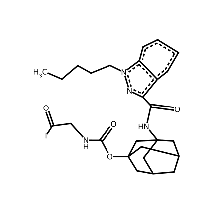 CCCCCn1nc(C(=O)NC23CC4CC(C2)CC(OC(=O)NCC(=O)I)(C4)C3)c2ccccc21